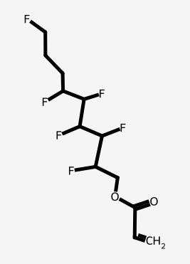 C=CC(=O)OCC(F)C(F)C(F)C(F)C(F)CCCF